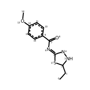 CCC1N[N]C(=NC(=O)c2ccc(OC)cc2)S1